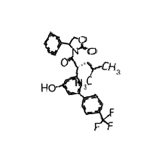 CC(C)C[C@@H](C(=O)N1C(=O)OCC1c1ccccc1)c1cc(O)cc(-c2ccc(C(F)(F)F)cc2)c1